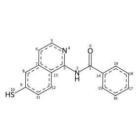 O=C(Nc1nccc2cc(S)ccc12)c1ccccc1